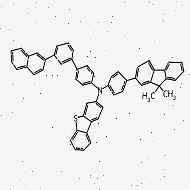 CC1(C)c2ccccc2-c2ccc(-c3ccc(N(c4ccc(-c5cccc(-c6ccc7ccccc7c6)c5)cc4)c4ccc5c(c4)sc4ccccc45)cc3)cc21